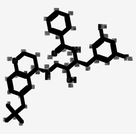 CC(C)(C)Cc1ccc2c(c1)[C@@H](NC[C@H](O)[C@H](Cc1cc(F)cc(F)c1)NC(=O)c1ccccc1)CCO2